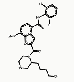 COc1ccc(C(=O)Nc2c(Cl)cncc2Cl)c2cc(C(=O)N3CCNCC3CCCCO)oc12